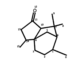 CC1CCC23CC1C(C)(C)C2C(=O)CC3C